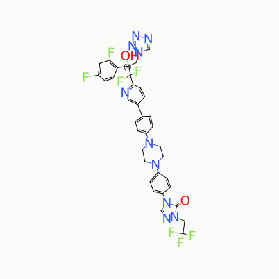 O=c1n(-c2ccc(N3CCN(c4ccc(-c5ccc(C(F)(F)[C@](O)(Cn6cnnn6)c6ccc(F)cc6F)nc5)cc4)CC3)cc2)cnn1CC(F)(F)F